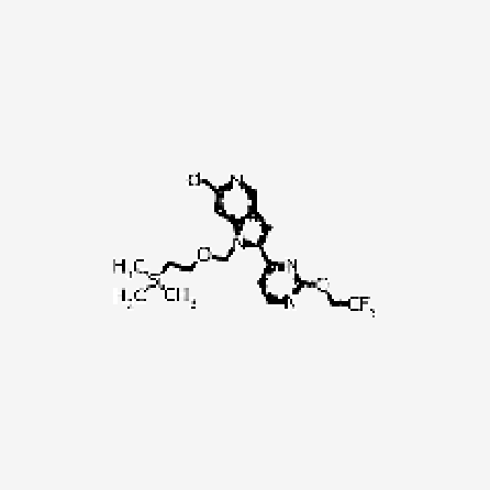 C[Si](C)(C)CCOCn1c(-c2ccnc(OCC(F)(F)F)n2)cc2cnc(Cl)cc21